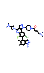 Cc1cc2[nH]ncc2c(-c2c(Cl)cc3c(nc(N4CC(N(C)C)C4)c4cnn(C5CCN(C(=O)/C=C/CN(C)C)CC5)c43)c2F)c1C